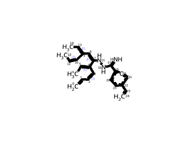 C=C\C=C/C(=C\C)C(=C\C(\C=C/C)=C\C)/NNC(=N)c1ccc(C=C)cc1